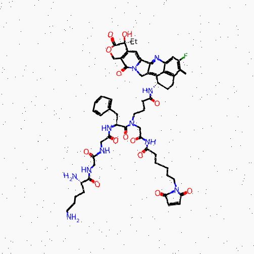 CC[C@@]1(O)C(=O)OCc2c1cc1n(c2=O)Cc2c-1nc1cc(F)c(C)c3c1c2[C@@H](NC(=O)CCCN(CC(=O)NC(=O)CCCCCN1C(=O)C=CC1=O)C(=O)[C@H](Cc1ccccc1)NC(=O)CNC(=O)CNC(=O)[C@@H](N)CCCCN)CC3